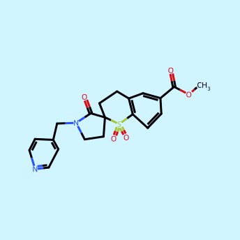 COC(=O)c1ccc2c(c1)CCC1(CCN(Cc3ccncc3)C1=O)S2(=O)=O